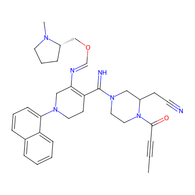 CC#CC(=O)N1CCN(C(=N)C2=C(/N=C/OC[C@@H]3CCCN3C)CN(c3cccc4ccccc34)CC2)CC1CC#N